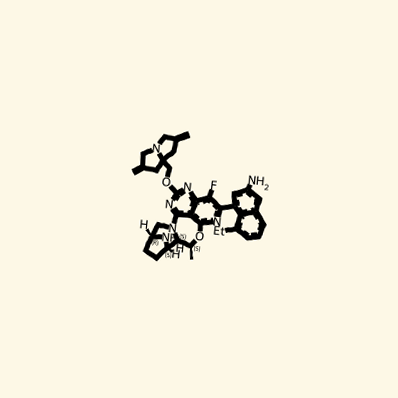 C=C1CN2CC(=C)CC2(COc2nc3c4c(nc(-c5cc(N)cc6cccc(CC)c56)c(F)c4n2)O[C@@H](C)[C@@H]2[C@@H]4CC[C@H](CN32)N4)C1